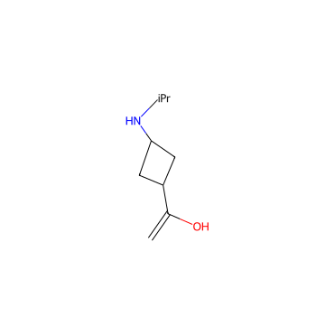 C=C(O)C1CC(NC(C)C)C1